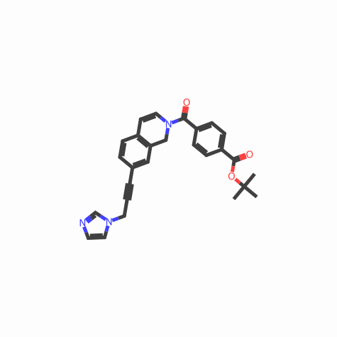 CC(C)(C)OC(=O)c1ccc(C(=O)N2C=Cc3ccc(C#CCn4ccnc4)cc3C2)cc1